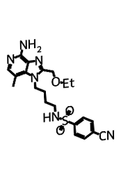 CCOCc1nc2c(N)ncc(C)c2n1CCCCNS(=O)(=O)c1ccc(C#N)cc1